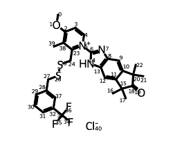 COc1cc[n+](-c2nc3cc4c(cc3[nH]2)C(C)(C)C(=O)C4(C)C)c(CSSCc2cccc(C(F)(F)F)c2)c1C.[Cl-]